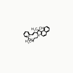 CCCC[N+]1=C(C=Cc2cccc[n+]2C)C(C)(C)c2c1ccc1ccccc21